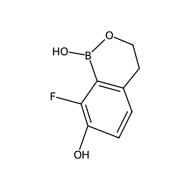 OB1OCCc2ccc(O)c(F)c21